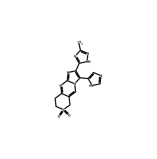 O=S1(=O)CCc2nc3nc(-c4nc(C(F)(F)F)n[nH]4)c(-c4cnc[nH]4)n3cc2C1